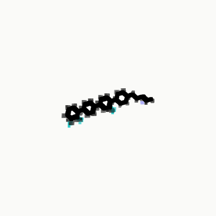 C/C=C/CCC1CCC(c2ccc(-c3ccc(-c4cccc(F)c4F)cc3)cc2F)CC1